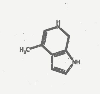 CC1=CNCc2[nH]ccc21